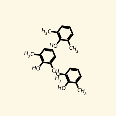 Cc1cccc(C)c1O.Cc1cccc(C)c1O.Cc1cccc(C)c1O